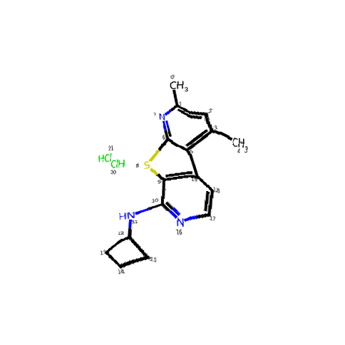 Cc1cc(C)c2c(n1)sc1c(NC3CCC3)nccc12.Cl.Cl